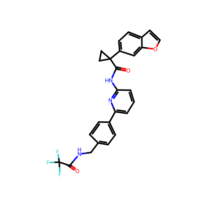 O=C(NCc1ccc(-c2cccc(NC(=O)C3(c4ccc5ccoc5c4)CC3)n2)cc1)C(F)(F)F